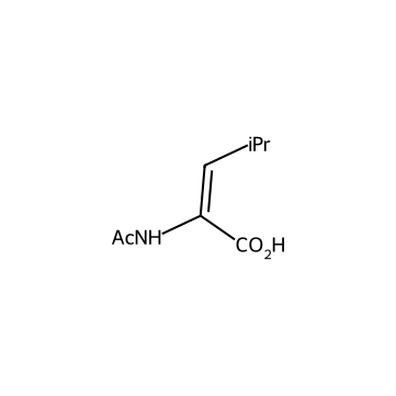 CC(=O)NC(=CC(C)C)C(=O)O